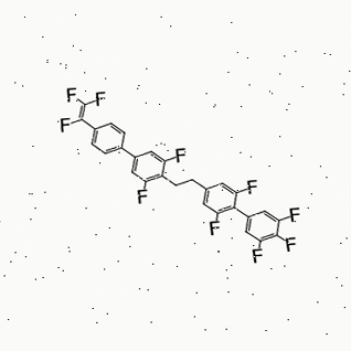 FC(F)=C(F)c1ccc(-c2cc(F)c(CCc3cc(F)c(-c4cc(F)c(F)c(F)c4)c(F)c3)c(F)c2)cc1